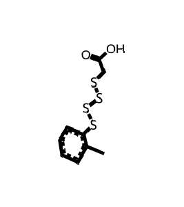 Cc1ccccc1SSSSCC(=O)O